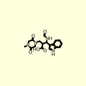 CN1CC(=O)N(CC(C(=O)O)C(NC=O)c2c[nH]c3ccccc23)CC1=O